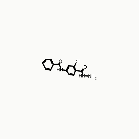 NNC(=O)c1ccc(NC(=O)c2ccccc2)cc1Cl